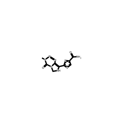 CN1N=NC2=C(c3nc(C(N)=O)cs3)NCN2C1=O